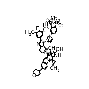 CCP(=O)(CC)c1ccc(N2C=CN(c3c4c(nn3-c3cc(C)c(F)c(C)c3)CCN(C(=O)c3cc5cc(C6CCOCC6)ccc5n3[C@@]3(C5=NOC(O)N5)C[C@@H]3C)[C@H]4C)C2)cc1NS(C)(=O)=O